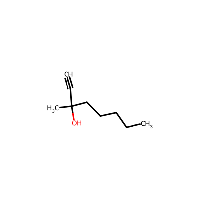 C#CC(C)(O)CCCCC